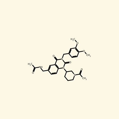 COc1ccc(Cn2c(=O)c3cc(CNC(C)=O)ccc3n(C3CCCN(C(C)=O)C3)c2=O)cc1OC